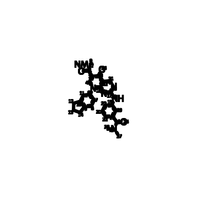 CNC(=O)c1cn(-c2ccc3c(c2)CCC3)c2nc(Nc3cccc(C(=O)N(C)C)c3)ncc2c1=O